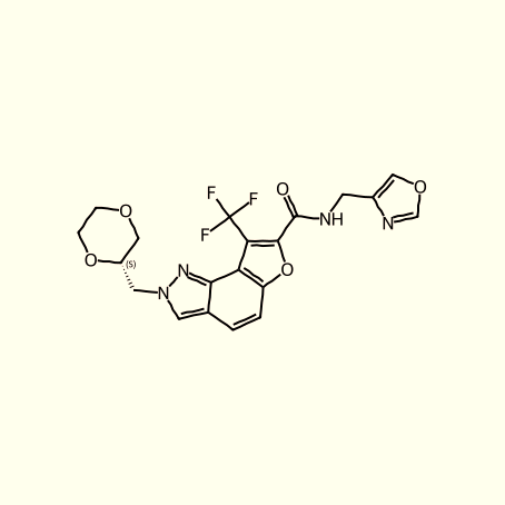 O=C(NCc1cocn1)c1oc2ccc3cn(C[C@H]4COCCO4)nc3c2c1C(F)(F)F